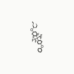 C=C/C=C(\C=C/C)Oc1ccc(C(c2ccc(Oc3ccccc3)cc2)(C(F)(F)F)C(F)(F)F)cc1